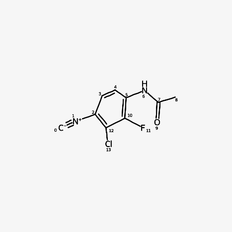 [C-]#[N+]c1ccc(NC(C)=O)c(F)c1Cl